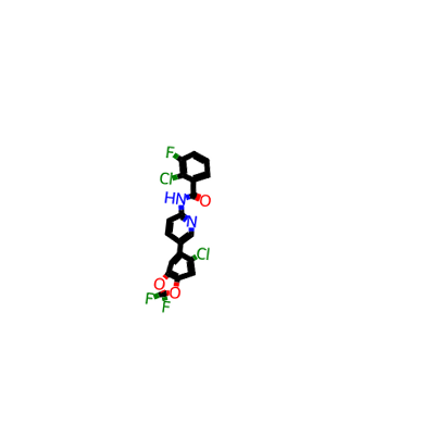 O=C(Nc1ccc(-c2cc3c(cc2Cl)OC(F)(F)O3)cn1)c1cccc(F)c1Cl